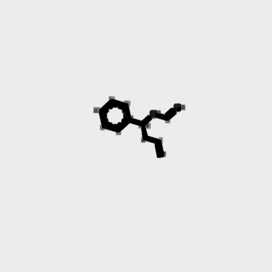 C=CC[C@H](OC=O)c1ccccc1